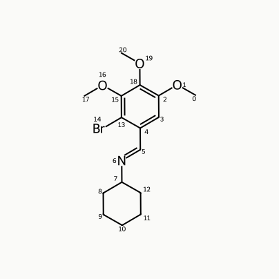 COc1cc(/C=N/C2CCCCC2)c(Br)c(OC)c1OC